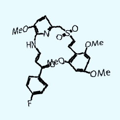 COc1cc(OC)c(C=CS(=O)(=O)Cc2ccc(OC)c(NC=CC(=O)c3ccc(F)cc3)n2)c(OC)c1